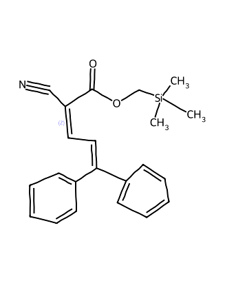 C[Si](C)(C)COC(=O)/C(C#N)=C\C=C(c1ccccc1)c1ccccc1